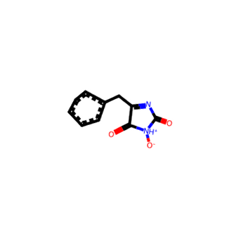 O=C1N=C(Cc2ccccc2)C(=O)[NH+]1[O-]